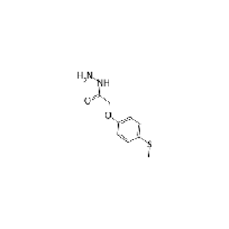 CSc1ccc(OCC(=O)NN)cc1